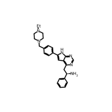 CCN1CCN(Cc2ccc(-c3cc4c(C[C@@H](N)c5ccccc5)ncnc4[nH]3)cc2)CC1